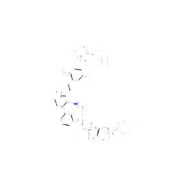 Cc1cc(/C=C/c2nccc(-c3cccc(NC(=O)c4nc5c(n4C)CCN(C4CCOCC4)C5)c3C)c2C#N)c(Cl)cc1CN1CCCCC1C(=O)O